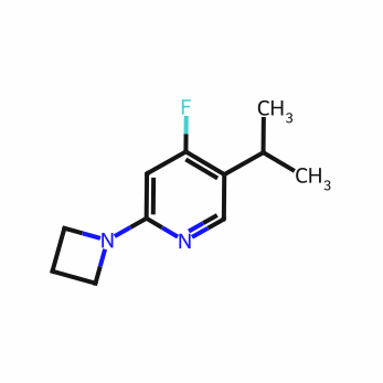 CC(C)c1cnc(N2CCC2)cc1F